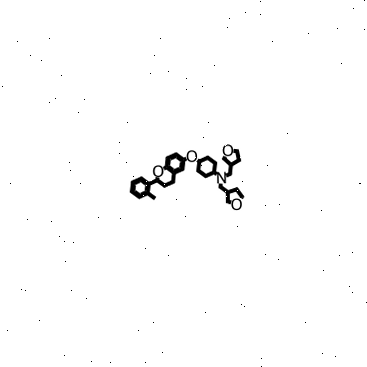 Cc1ccccc1C1CCc2cc(OC3CCC(N(CC4CCOC4)CC4CCOC4)CC3)ccc2O1